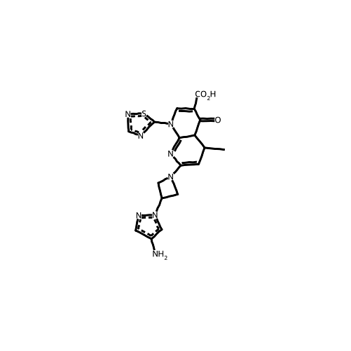 CC1C=C(N2CC(n3cc(N)cn3)C2)N=C2C1C(=O)C(C(=O)O)=CN2c1ncns1